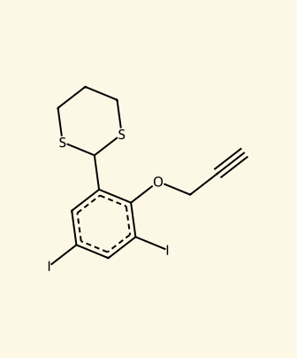 C#CCOc1c(I)cc(I)cc1C1SCCCS1